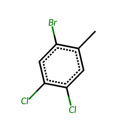 Cc1cc(Cl)c(Cl)cc1Br